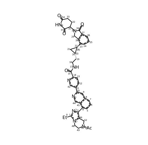 CCc1nc(-c2cccc3cc(-c4ccc(C(=O)NCC[C@@H]5C[C@H]5c5cccc6c5CN(C5CCC(=O)NC5=O)C6=O)nc4)ncc23)c2n1CCN(C(C)=O)C2